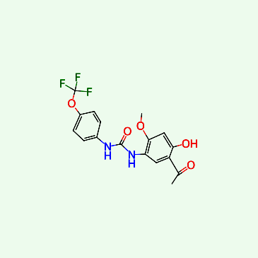 COc1cc(O)c(C(C)=O)cc1NC(=O)Nc1ccc(OC(F)(F)F)cc1